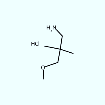 COCC(C)(C)CN.Cl